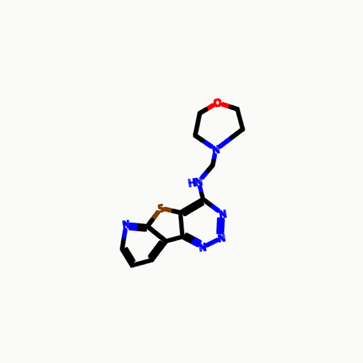 c1cnc2sc3c(NCN4CCOCC4)nnnc3c2c1